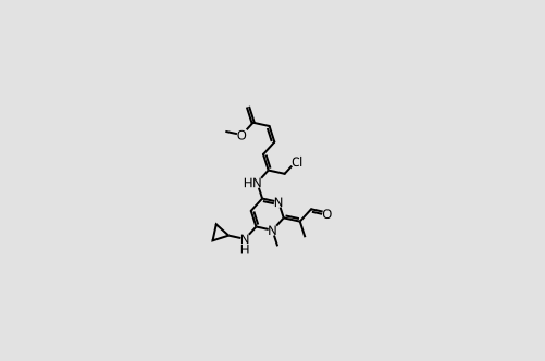 C=C(/C=C\C=C(/CCl)NC1=N/C(=C(/C)C=O)N(C)C(NC2CC2)=C1)OC